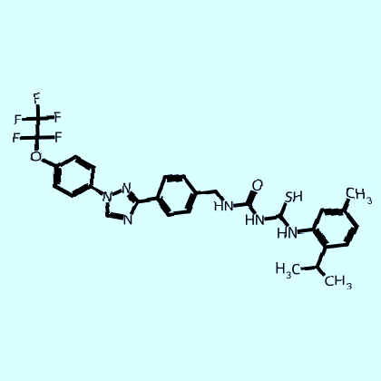 Cc1ccc(C(C)C)c(NC(S)NC(=O)NCc2ccc(-c3ncn(-c4ccc(OC(F)(F)C(F)(F)F)cc4)n3)cc2)c1